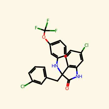 O=C1Nc2cc(Cl)ccc2C1(Cc1cccc(Cl)c1)Nc1cccc(OC(F)(F)F)c1